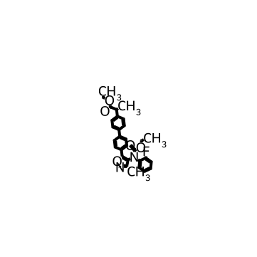 CCOC(=O)C(C)c1ccc(-c2ccc(-c3onc(C)c3N(C(=O)OCC)c3ccccc3F)cc2)cc1